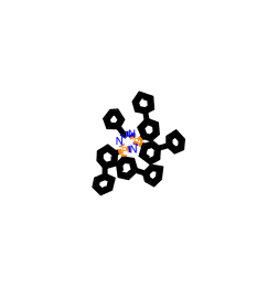 c1ccc(C2=NP(c3cccc(-c4ccccc4)c3)(c3cccc(-c4ccccc4)c3)=NP(c3cccc(-c4ccccc4)c3)(c3cccc(-c4ccccc4)c3)=N2)cc1